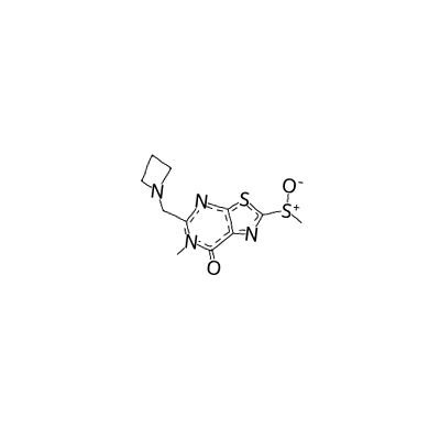 Cn1c(CN2CCC2)nc2sc([S+](C)[O-])nc2c1=O